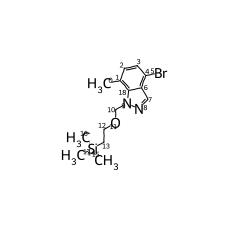 Cc1ccc(Br)c2cnn(COCC[Si](C)(C)C)c12